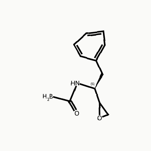 BC(=O)N[C@@H](Cc1ccccc1)C1CO1